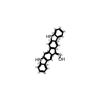 ON=C1c2cc3c(cc2-c2cc4[nH]c5ccccc5c4cc21)[nH]c1ccccc13